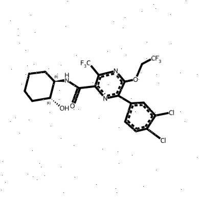 O=C(N[C@@H]1CCCC[C@H]1O)c1nc(-c2ccc(Cl)c(Cl)c2)c(OCC(F)(F)F)nc1C(F)(F)F